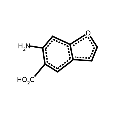 Nc1cc2occc2cc1C(=O)O